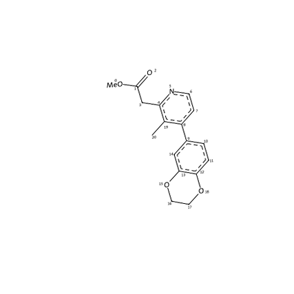 COC(=O)Cc1nccc(-c2ccc3c(c2)OCCO3)c1C